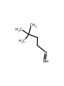 CC(C)(C)CCN=N